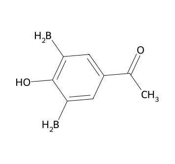 Bc1cc(C(C)=O)cc(B)c1O